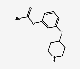 CC(C)(C)C(=O)Oc1cccc(OC2CCNCC2)c1